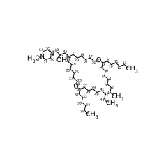 CCCCCCCCC(CCCCCC)OCCCCCCN(CCCCCCOC(CCCCCC)CCCCCCCC)CC(O)CN1CCN(C)CC1